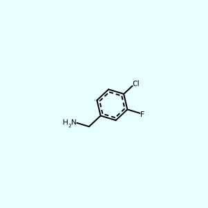 NCc1[c]cc(Cl)c(F)c1